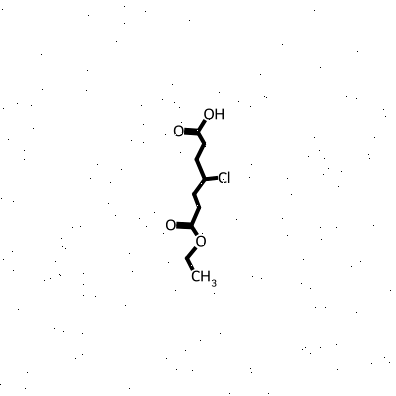 CCOC(=O)CCC(Cl)CCC(=O)O